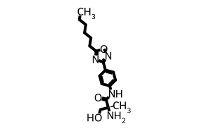 CCCCCCc1nc(-c2ccc(NC(=O)[C@@](C)(N)CO)cc2)no1